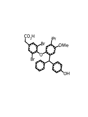 COc1cc(C(c2ccccc2)c2ccc(O)cc2)c(Oc2c(Br)cc(CC(=O)O)cc2Br)cc1C(C)C